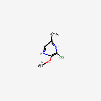 CCCOc1ncc(OC)nc1Cl